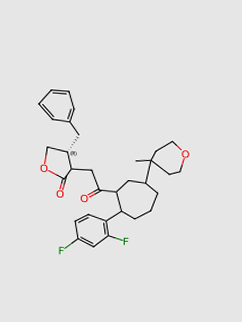 CC1(C2CCCC(c3ccc(F)cc3F)C(C(=O)CC3C(=O)OC[C@@H]3Cc3ccccc3)C2)CCOCC1